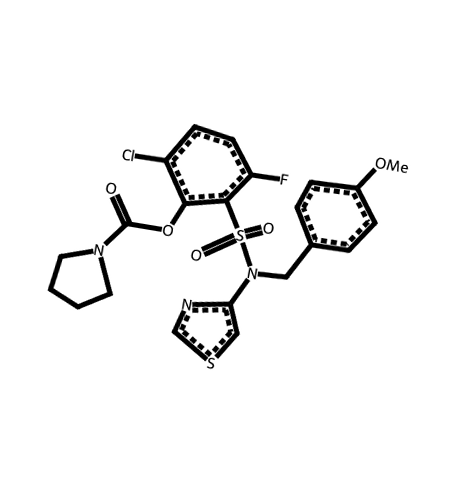 COc1ccc(CN(c2cscn2)S(=O)(=O)c2c(F)ccc(Cl)c2OC(=O)N2CCCC2)cc1